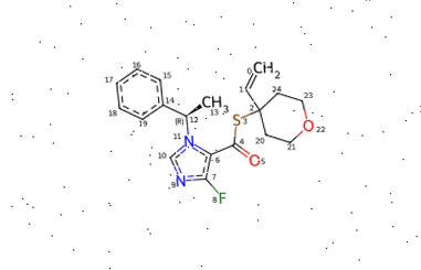 C=CC1(SC(=O)c2c(F)ncn2[C@H](C)c2ccccc2)CCOCC1